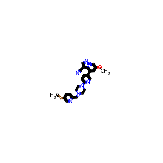 COc1cc(-c2ccc(N3CCN(Cc4ccc(SC)cn4)CC3)nc2)c2c(C#N)cnn2c1